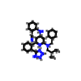 CC(C)CN(Cc1ccccc1)c1cc(Nc2ccccc2C#N)cc(-c2ccccc2-c2nnn[nH]2)n1